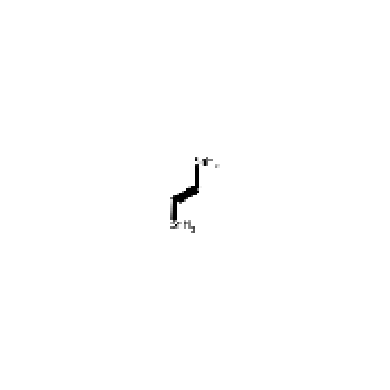 [SnH3]/[C]=[C]/[SnH3]